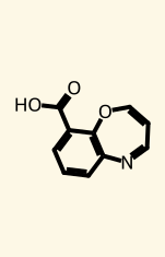 O=C(O)c1cccc2c1OC=CC=N2